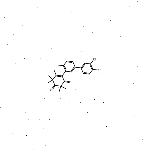 CC1=C(c2cc(-c3ccc(C(F)(F)F)c(Cl)c3)ccc2C)C(=O)C(C)(C)C(=O)C1(C)C